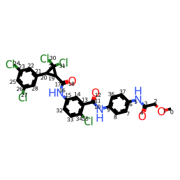 COCC(=O)Nc1ccc(NC(=O)c2cc(NC(=O)C3C(c4cc(Cl)cc(Cl)c4)C3(Cl)Cl)ccc2Cl)cc1